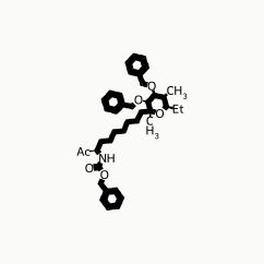 CC[C@H]1O[C@@](C)(CCCCCCC[C@H](NC(=O)OCc2ccccc2)C(C)=O)[C@H](OCc2ccccc2)[C@@H](OCc2ccccc2)[C@H]1C